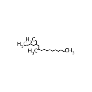 CCCCCCCCCCC(C)CC(CC)CCCC